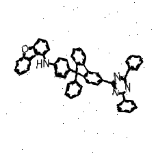 c1ccc(-c2nc(-c3ccccc3)nc(-c3ccc4c(c3)-c3ccccc3C4(c3ccccc3)c3ccc(Nc4cccc5oc6ccccc6c45)cc3)n2)cc1